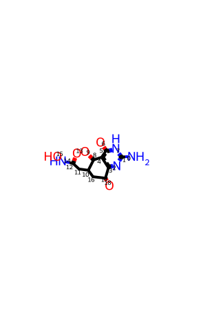 Nc1nc2c(c(=O)[nH]1)C(=O)C(CC(=O)NO)CC2=O